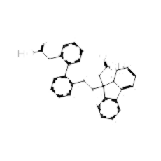 O=C(O)Cc1ccccc1-c1ccccc1CCC1(CC(=O)O)c2ccccc2C2=CC=CCC21